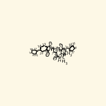 CC(C)C[C@H](NC(CCN1C(=O)c2ccc(-c3ccccc3)cc2C1=O)C(=O)O)C(=O)NCc1ccccc1